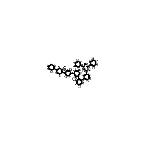 c1ccc(-c2ccc3c(c2)sc2cc(-c4cccc5c4oc4cccc(-c6cccc(-c7nc(-c8ccccc8)nc(-c8ccccc8)n7)c6)c45)ccc23)cc1